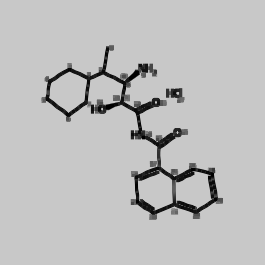 CC(C1CCCCC1)[C@@H](N)[C@H](O)C(=O)NC(=O)c1cccc2ccccc12.Cl